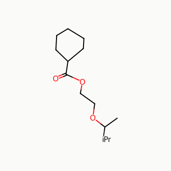 CC(C)C(C)OCCOC(=O)C1CCCCC1